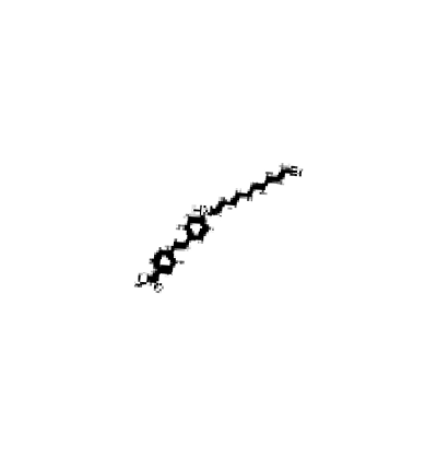 COC(=O)c1ccc(C=Cc2ccc(NCCCCCCCCCCBr)cc2)cc1